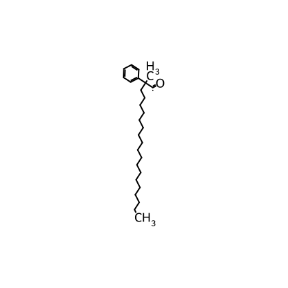 CCCCCCCCCCCCCCCCCCC(C)([C]=O)c1ccccc1